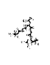 CC(C)C[C@H](NC(=O)CNC(=O)CC(C)(C)C)C(=O)NCC(=O)N[C@@H](CC(C)C)C(=O)[C@@]1(C)CO1